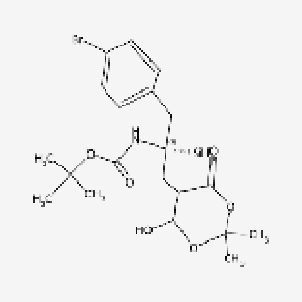 CC(C)(C)OC(=O)N[C@@]([SiH3])(Cc1ccc(Br)cc1)CC1C(=O)OC(C)(C)OC1O